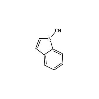 N#Cn1ccc2ccccc21